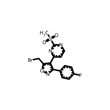 CS(=O)(=O)c1nccc(-c2c(-c3ccc(F)cc3)noc2CBr)n1